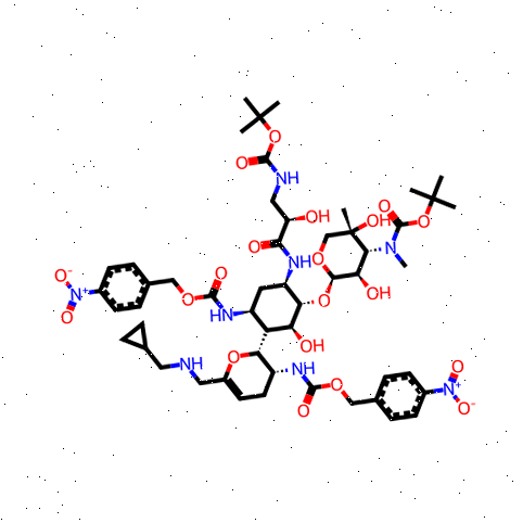 CN(C(=O)OC(C)(C)C)[C@@H]1[C@@H](O)[C@@H](O[C@H]2[C@H](NC(=O)[C@H](O)CNC(=O)OC(C)(C)C)C[C@H](NC(=O)OCc3ccc([N+](=O)[O-])cc3)C([C@H]3OC(CNCC4CC4)=CC[C@H]3NC(=O)OCc3ccc([N+](=O)[O-])cc3)[C@@H]2O)OC[C@]1(C)O